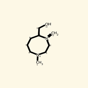 C=[N+]1CCN(C)CCCC1CO